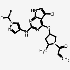 C=CC(=O)N1CC(Oc2nc(Nc3cnn(C(F)F)c3)nc3[nH]cc(Cl)c23)CC1C